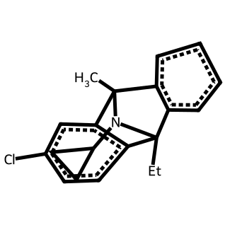 CCC12c3ccccc3C(C)(c3cc(Cl)ccc31)N2C1CC1